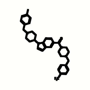 Cc1ccc(CN2CCC(n3ccc4cc(C(=O)N5CCN(Cc6ccc(C(F)(F)F)cc6)CC5)ccc43)CC2)cc1